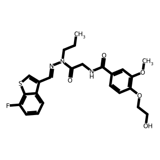 CCCN(/N=C/c1csc2c(F)cccc12)C(=O)CNC(=O)c1ccc(OCCO)c(OC)c1